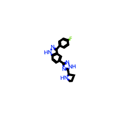 Fc1ccc(-c2n[nH]c3ccc(-c4n[nH]c(C5CCCN5)n4)cc23)cc1